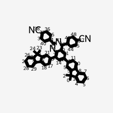 CC1(C)c2ccccc2-c2ccc(-c3cc(-c4ccc5c(c4)C(C)(C)c4ccccc4-5)c4nc(-c5ccc(C#N)cc5)nc(-c5ccc(C#N)cc5)c4c3)cc21